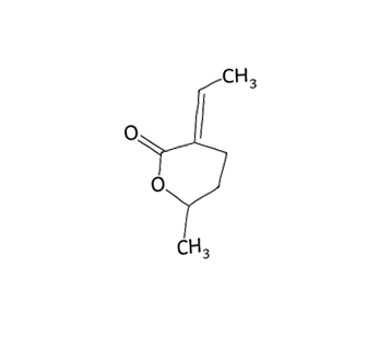 CC=C1CCC(C)OC1=O